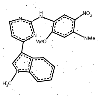 CNc1cc(OC)c(Nc2nccc(-c3cn(C)c4ccccc34)n2)cc1[N+](=O)[O-]